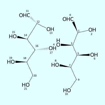 O=C[C@@H](O)[C@H](O)[C@@H](O)[C@H](O)CO.O=C[C@H](O)[C@H](O)[C@H](O)[C@H](O)CO